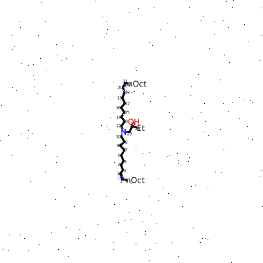 CCCCCCCC/C=C\CCCCCCCCN(CCCCCCCC/C=C\CCCCCCCC)CC(O)CC